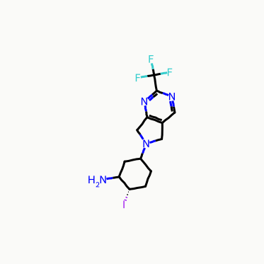 NC1CC(N2Cc3cnc(C(F)(F)F)nc3C2)CC[C@@H]1I